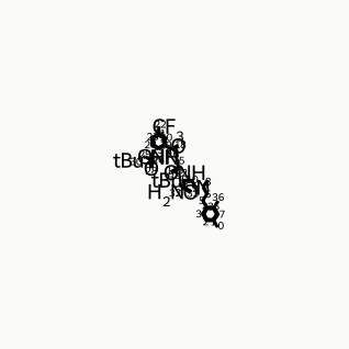 Cc1ccc(CCN(C)CCC(NC(=O)CNC(=O)c2cc(C(F)(F)F)ccc2NC(=O)OC(C)(C)C)(C(N)=O)C(C)(C)C)c(C)c1